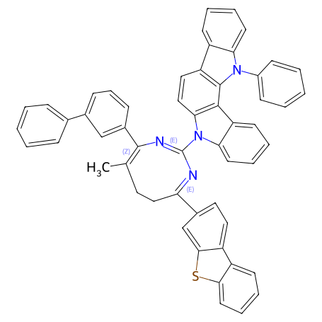 C/C1=C(c2cccc(-c3ccccc3)c2)/N=C(n2c3ccccc3c3c2ccc2c4ccccc4n(-c4ccccc4)c23)\N=C(\c2ccc3c(c2)sc2ccccc23)CC1